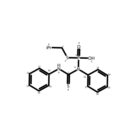 CC(C)CSP(=O)(O)N(C(=S)Nc1ccccc1)c1ccccc1